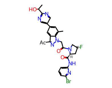 CC(=O)c1nn(CC(=O)N2C[C@H](F)C[C@H]2C(=O)Nc2cccc(Br)n2)c2c(C)cc(-c3cnc(C(C)O)nc3)cc12